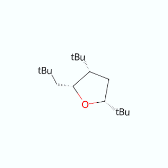 CC(C)(C)C[C@H]1O[C@@H](C(C)(C)C)C[C@H]1C(C)(C)C